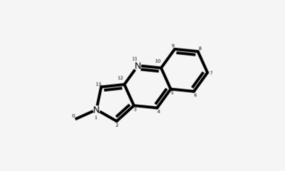 Cn1cc2cc3ccccc3nc2c1